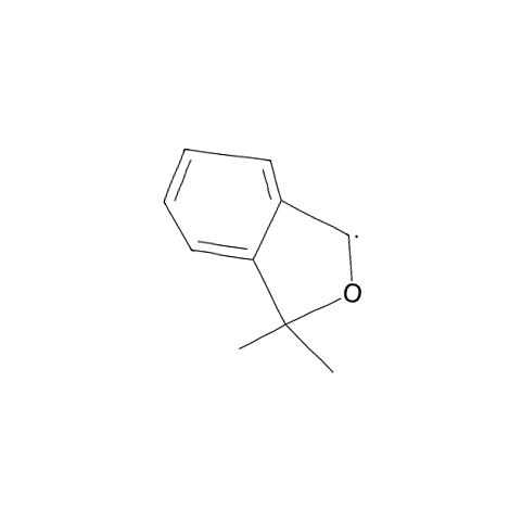 CC1(C)O[CH]c2ccccc21